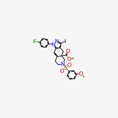 COC(=O)C12Cc3c(I)nn(-c4ccc(F)cc4)c3C=C1CCN(S(=O)(=O)c1cccc(OC)c1)C2